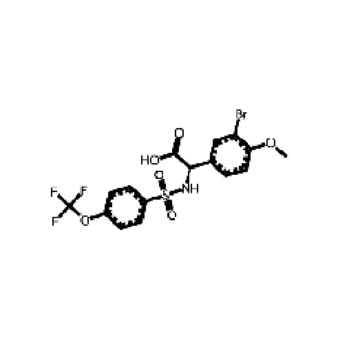 COc1ccc([C@@H](NS(=O)(=O)c2ccc(OC(F)(F)F)cc2)C(=O)O)cc1Br